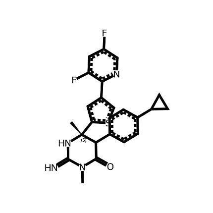 CN1C(=N)N[C@](C)(c2cc(-c3ncc(F)cc3F)cs2)C(c2ccc(C3CC3)cc2)C1=O